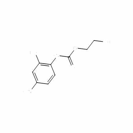 O=C(NCCO)Nc1ccc([N+](=O)[O-])cc1O